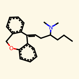 CCCC(CC=C1c2ccccc2COc2ccccc21)N(C)C